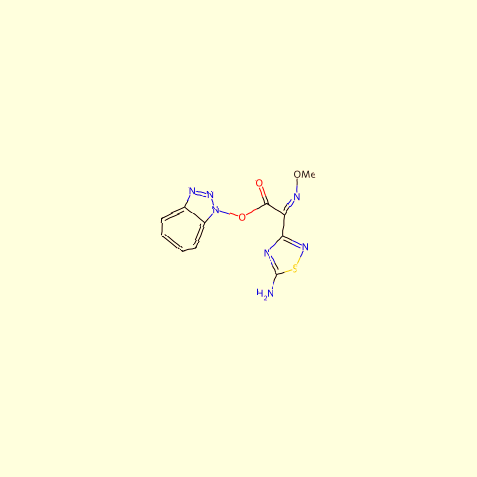 CO/N=C(\C(=O)On1nnc2ccccc21)c1nsc(N)n1